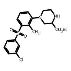 CCOC(=O)C1CN(c2cccc(S(=O)(=O)c3cccc(Cl)c3)c2C)CCN1